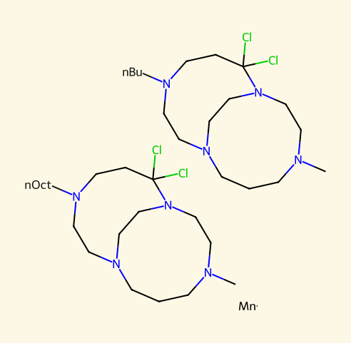 CCCCCCCCN1CCN2CCCN(C)CCN(CC2)C(Cl)(Cl)CC1.CCCCN1CCN2CCCN(C)CCN(CC2)C(Cl)(Cl)CC1.[Mn]